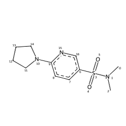 CN(C)S(=O)(=O)c1ccc(N2CCCC2)nc1